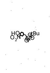 CC(C)(C)OC(=O)N1C(Cc2ccc(O)c([N+](=O)[O-])c2)COC1(C)C